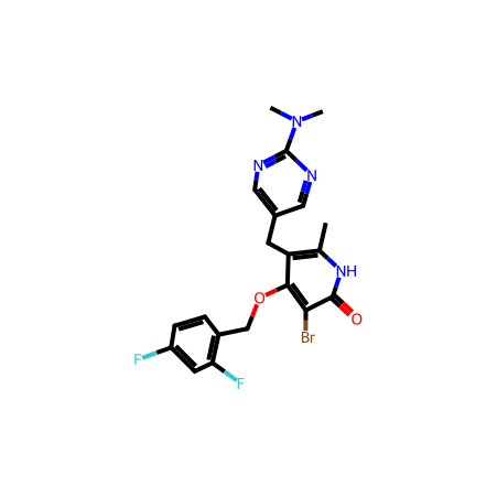 Cc1[nH]c(=O)c(Br)c(OCc2ccc(F)cc2F)c1Cc1cnc(N(C)C)nc1